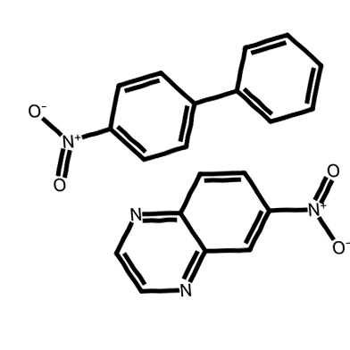 O=[N+]([O-])c1ccc(-c2ccccc2)cc1.O=[N+]([O-])c1ccc2nccnc2c1